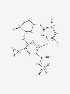 CS(=O)(=O)NC(=O)c1cc(C2CC2)c(O[C@H]2CN(Cc3ccc(F)cc3Cl)CC[C@@H]2F)cc1F